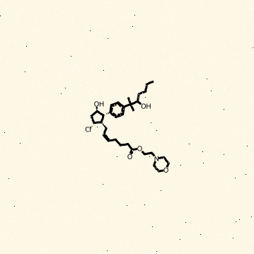 CCCCC(O)C(C)(C)c1ccc([C@@H]2[C@@H](C/C=C\CCCC(=O)OCCN3CCOCC3)[C@H](Cl)C[C@H]2O)cc1